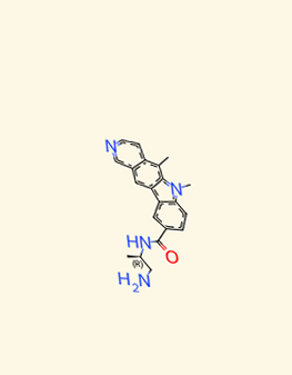 Cc1c2ccncc2cc2c3cc(C(=O)N[C@H](C)CN)ccc3n(C)c12